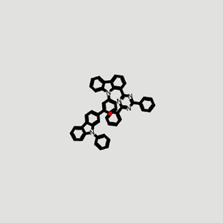 c1ccc(-c2nc(-c3ccccc3)nc(-c3cccc4c5ccccc5n(-c5cccc(-c6ccc7c8ccccc8n(-c8ccccc8)c7c6)c5)c34)n2)cc1